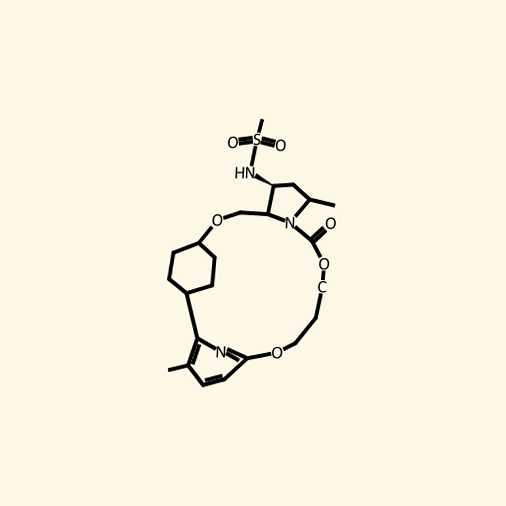 Cc1ccc2nc1C1CCC(CC1)OCC1[C@@H](NS(C)(=O)=O)CC(C)N1C(=O)OCCCO2